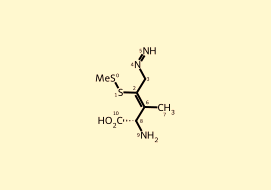 CSS/C(CN=N)=C(/C)[C@H](N)C(=O)O